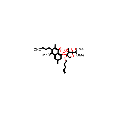 C=CCCCOC1(OC2=c3c(O)c(C)c(CCCC=O)c(OC)c3=CC(C)C2)COC(O)(C(OC)OC)C12CO2